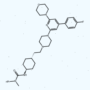 CCCN(C)C(=O)N[C@H]1CC[C@H](CCN2CCN(c3cc(-c4ccc(F)cc4)cc(N4CCOCC4)n3)CC2)CC1